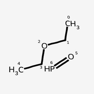 CCOCC.O=P